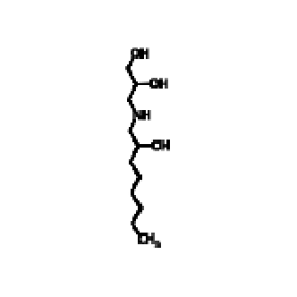 CCCCCCC(O)CNCC(O)CO